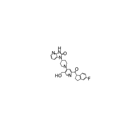 O=C(c1cc(N2CCC(n3c(=O)[nH]c4ncccc43)CC2)c(CO)cn1)C1CCc2cc(F)ccc21